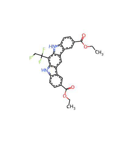 CCOC(=O)c1ccc2[nH]c3c(C(F)(F)CF)c4[nH]c5ccc(C(=O)OCC)cc5c4cc3c2c1